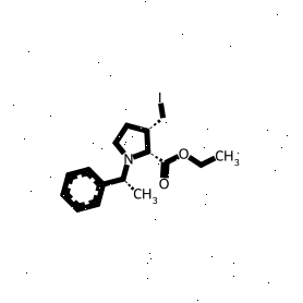 CCOC(=O)[C@H]1[C@@H](CI)CCN1[C@H](C)c1ccccc1